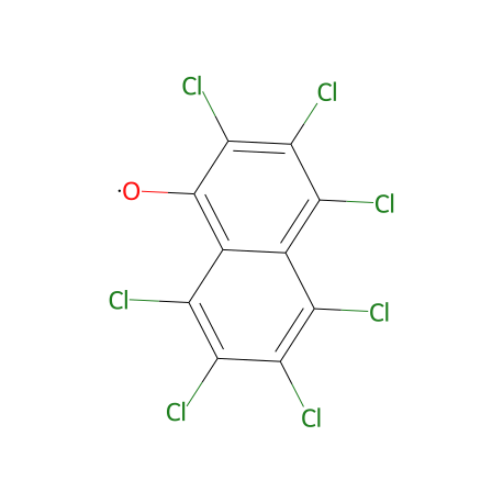 [O]c1c(Cl)c(Cl)c(Cl)c2c(Cl)c(Cl)c(Cl)c(Cl)c12